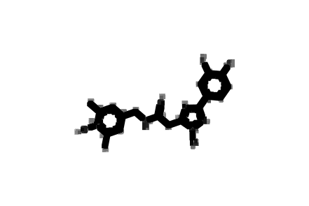 CCn1nc(-c2ccc(Cl)c(F)c2)nc1CC(=O)NCc1cc(C)[n+]([O-])c(C)c1